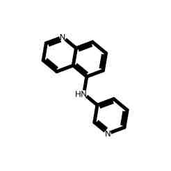 c1cncc(Nc2cccc3ncccc23)c1